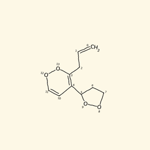 C=CCC1=C(C2CCOO2)C=COO1